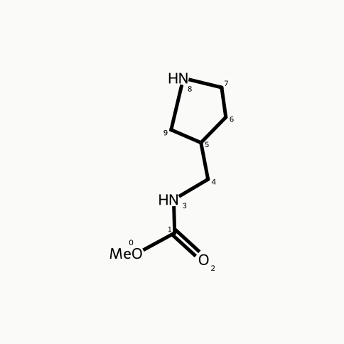 COC(=O)NCC1CCNC1